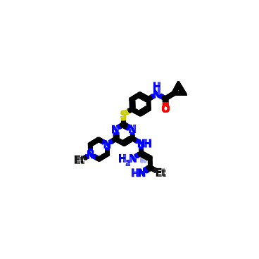 CCC(=N)/C=C(\N)Nc1cc(N2CCN(CC)CC2)nc(Sc2ccc(NC(=O)C3CC3)cc2)n1